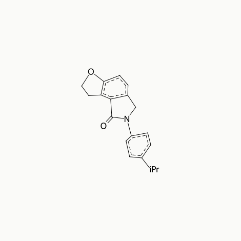 CC(C)c1ccc(N2Cc3ccc4c(c3C2=O)CCO4)cc1